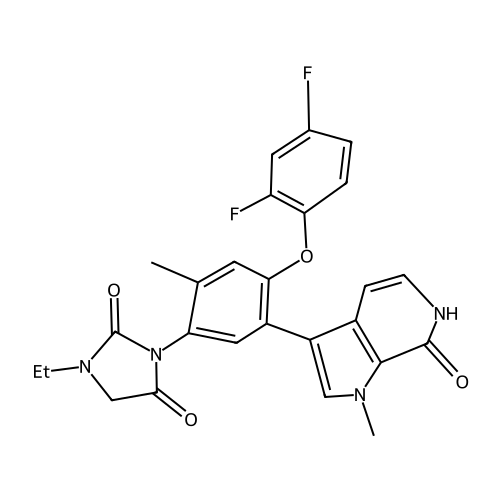 CCN1CC(=O)N(c2cc(-c3cn(C)c4c(=O)[nH]ccc34)c(Oc3ccc(F)cc3F)cc2C)C1=O